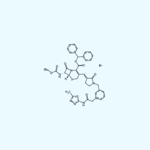 Cc1nnc(NC(=O)C[n+]2cccc(CN3CC/C(=C\C4=C(C(=O)OC(c5ccccc5)c5ccccc5)N5C(=O)[C@@H](NC(=O)OC(C)(C)C)[C@H]5SC4)C3=O)c2)s1.[Br-]